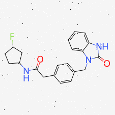 O=C(Cc1ccc(Cn2c(=O)[nH]c3ccccc32)cc1)NC1CCC(F)C1